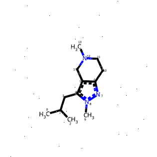 CC(C)Cc1c2c(nn1C)CCN(C)C2